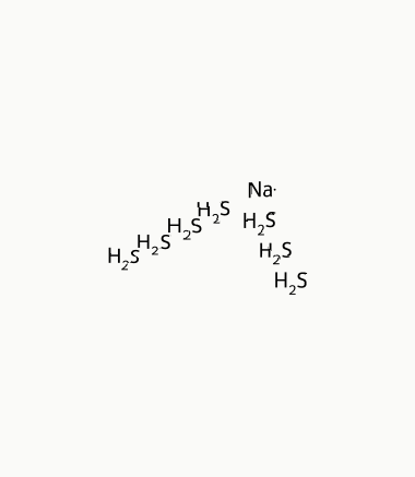 S.S.S.S.S.S.S.[Na]